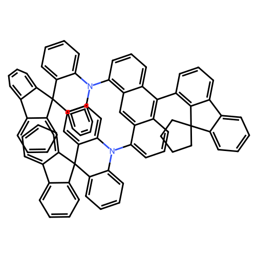 c1ccc2c(c1)-c1cccc(-c3c4cccc(N5c6ccccc6C6(c7ccccc7-c7ccccc76)c6ccccc65)c4cc4c(N5c6ccccc6C6(c7ccccc7-c7ccccc76)c6ccccc65)cccc34)c1C21CCCC1